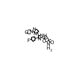 CC1(C(N)=O)COC(c2nc(-c3ccc(F)cc3)c(-c3ccnc(N4CCOCC4)n3)[nH]2)OC1